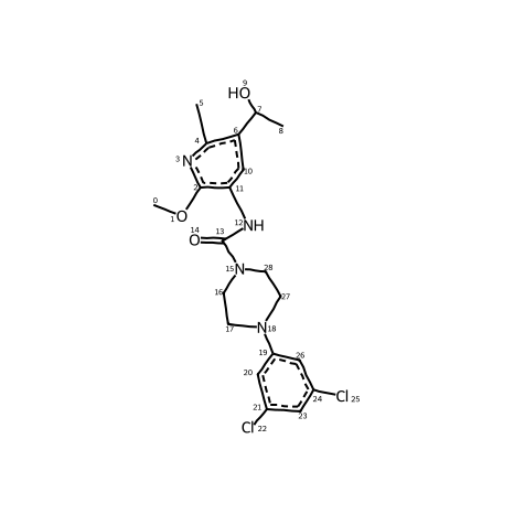 COc1nc(C)c(C(C)O)cc1NC(=O)N1CCN(c2cc(Cl)cc(Cl)c2)CC1